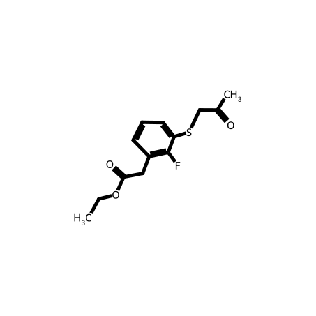 CCOC(=O)Cc1cccc(SCC(C)=O)c1F